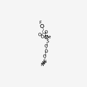 COC(=O)C(CCc1ccc(F)cc1)C(=O)c1ccc(SCCOCCOCCOCCN=[N+]=[N-])cc1